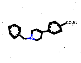 CCOC(=O)c1ccc(C2=CCN(Cc3ccccc3)CC2)cc1